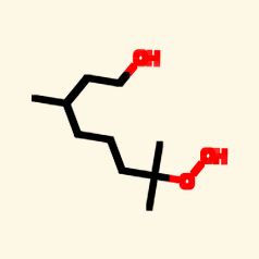 CC(CCO)CCCC(C)(C)OO